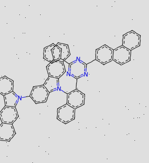 c1ccc(-c2nc(-c3ccc4c(ccc5ccccc54)c3)nc(-c3ccc4ccccc4c3-n3c4ccc(-n5c6ccccc6c6cc7ccccc7cc65)cc4c4cc5ccccc5cc43)n2)cc1